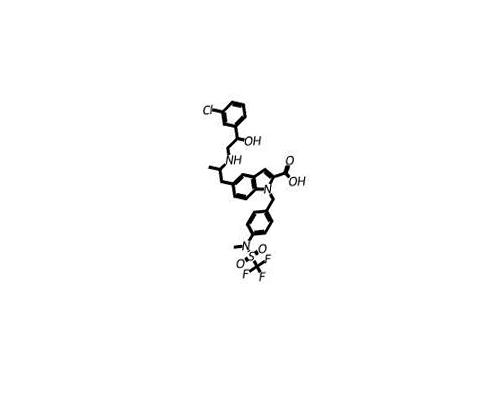 CC(Cc1ccc2c(c1)cc(C(=O)O)n2Cc1ccc(N(C)S(=O)(=O)C(F)(F)F)cc1)NCC(O)c1cccc(Cl)c1